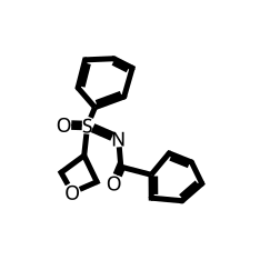 O=C(N=S(=O)(c1ccccc1)C1COC1)c1ccccc1